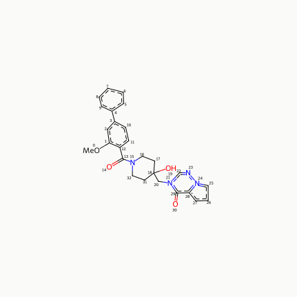 COc1cc(-c2ccccc2)ccc1C(=O)N1CCC(O)(Cn2cnn3cccc3c2=O)CC1